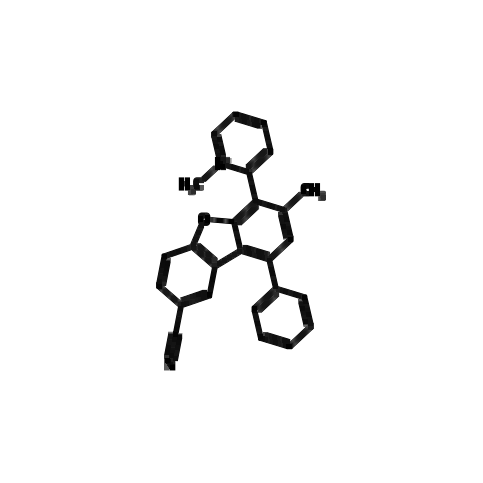 Cc1cc(-c2ccccc2)c2c(oc3ccc(C#N)cc32)c1-c1cccc[n+]1C